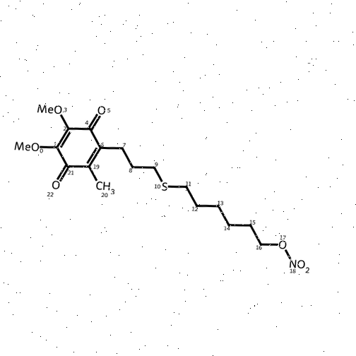 COC1=C(OC)C(=O)C(CCCSCCCCCCO[N+](=O)[O-])=C(C)C1=O